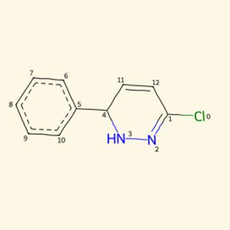 ClC1=NNC(c2ccccc2)C=C1